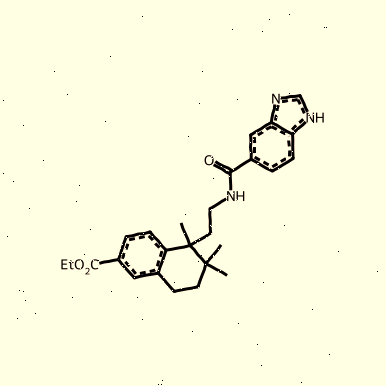 CCOC(=O)c1ccc2c(c1)CCC(C)(C)C2(C)CCNC(=O)c1ccc2[nH]cnc2c1